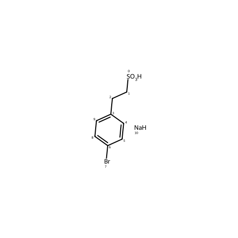 O=S(=O)(O)CCc1ccc(Br)cc1.[NaH]